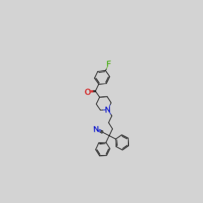 N#CC(CCCN1CCC(C(=O)c2ccc(F)cc2)CC1)(c1ccccc1)c1ccccc1